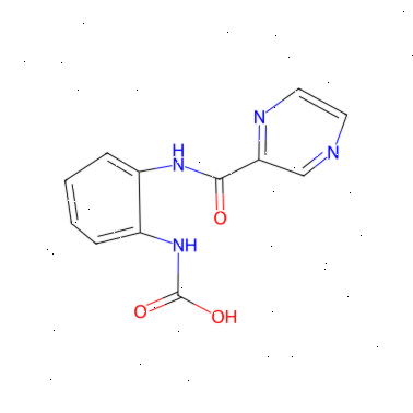 O=C(O)Nc1ccccc1NC(=O)c1cnccn1